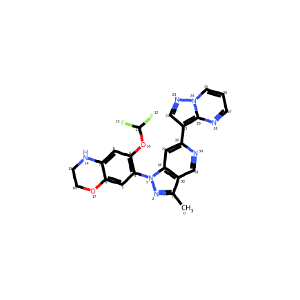 Cc1nn(-c2cc3c(cc2OC(F)F)NCCO3)c2cc(-c3cnn4cccnc34)ncc12